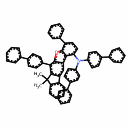 CC1(C)c2ccccc2-c2cc3c(oc4c(-c5ccccc5)ccc(N(c5ccc(-c6ccccc6)cc5)c5ccc(-c6ccccc6)cc5)c43)c(-c3ccc(-c4ccccc4)cc3)c21